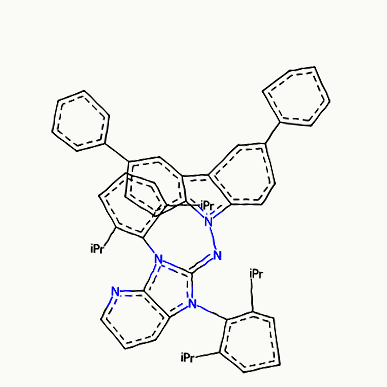 CC(C)c1cccc(C(C)C)c1-n1c(=Nn2c3ccc(-c4ccccc4)cc3c3cc(-c4ccccc4)ccc32)n(-c2c(C(C)C)cccc2C(C)C)c2ncccc21